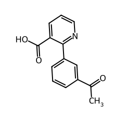 CC(=O)c1cccc(-c2ncccc2C(=O)O)c1